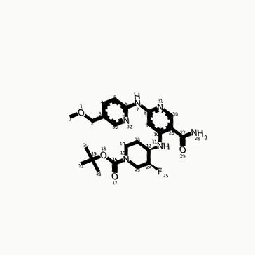 COCc1ccc(Nc2cc(N[C@@H]3CCN(C(=O)OC(C)(C)C)C[C@@H]3F)c(C(N)=O)cn2)nc1